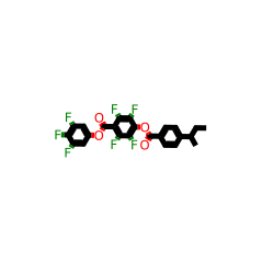 CCC(C)c1ccc(C(=O)Oc2c(F)c(F)c(C(=O)Oc3cc(F)c(F)c(F)c3)c(F)c2F)cc1